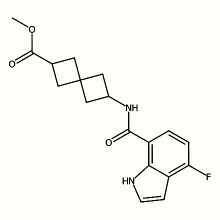 COC(=O)C1CC2(CC(NC(=O)c3ccc(F)c4cc[nH]c34)C2)C1